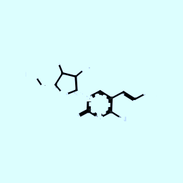 Nc1nc(=O)n([C@@H]2O[C@H](CO)C(O)C2O)cc1C=CC(F)(F)F